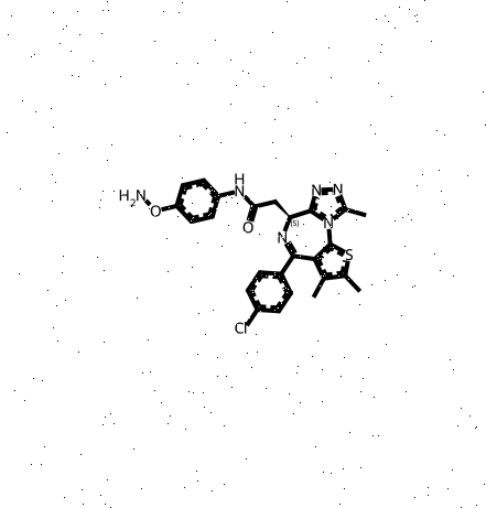 Cc1sc2c(c1C)C(c1ccc(Cl)cc1)=N[C@@H](CC(=O)Nc1ccc(ON)cc1)c1nnc(C)n1-2